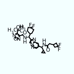 CC(C)(O)c1nonc1C(=O)N[C@H](c1cn2ncc(C(NC(=O)CC3CC(F)(F)C3)C3CC3)cc2n1)C1CCC(F)(F)CC1